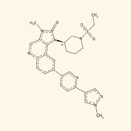 CCS(=O)(=O)N1CCC[C@@H](n2c(=O)n(C)c3cnc4ccc(-c5ccc(-c6cnn(C)c6)nc5)cc4c32)C1